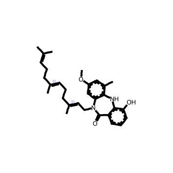 COc1cc(C)c2c(c1)N(C/C=C(\C)CC/C=C(\C)CCC=C(C)C)C(=O)c1cccc(O)c1N2